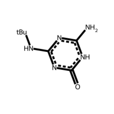 CC(C)(C)Nc1nc(N)[nH]c(=O)n1